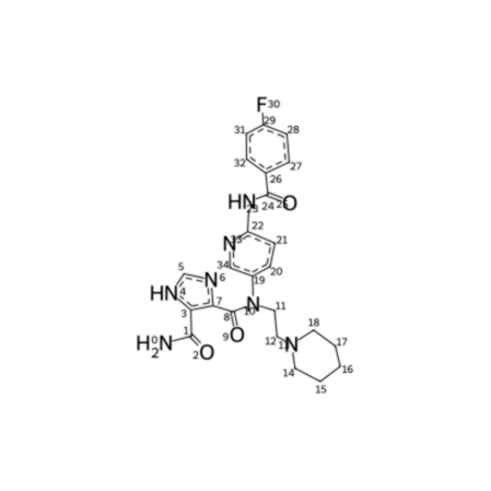 NC(=O)c1[nH]cnc1C(=O)N(CCN1CCCCC1)c1ccc(NC(=O)c2ccc(F)cc2)nc1